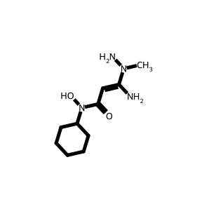 CN(N)/C(N)=C/C(=O)N(O)C1CCCCC1